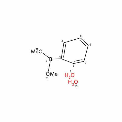 COB(OC)c1ccccc1.O.O